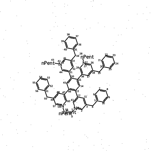 CCCCC[n+]1cc(Cc2ccccc2)cc(-c2cc(-c3cc(Cc4ccccc4)c[n+](CCCCC)c3)c(-c3cc(Cc4ccccc4)c[n+](CCCCC)c3)cc2-c2cc(Cc3ccccc3)c[n+](CCCCC)c2)c1